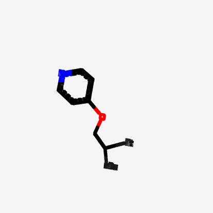 CCCCC(CC)COc1ccncc1